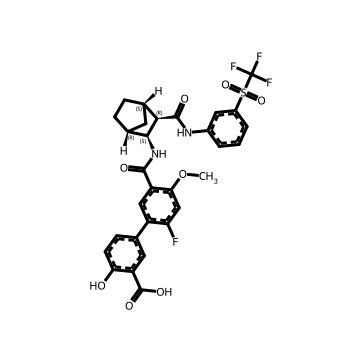 COc1cc(F)c(-c2ccc(O)c(C(=O)O)c2)cc1C(=O)N[C@H]1[C@@H]2CC[C@@H](C2)[C@H]1C(=O)Nc1cccc(S(=O)(=O)C(F)(F)F)c1